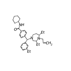 C=CCN1C(CC)CCN(C(c2ccc(C(=O)NC3CCCCC3)cc2)c2cccc(CC)c2)CC1CC